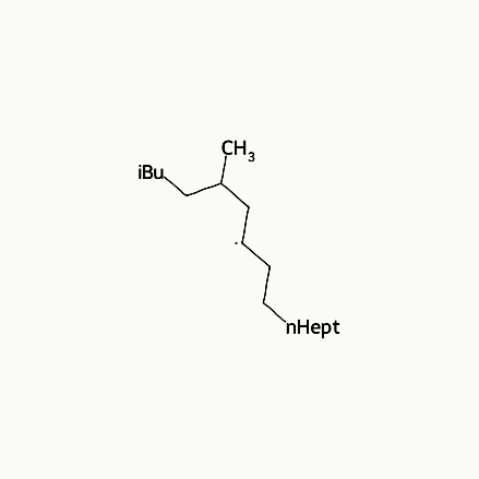 CCCCCCCCC[CH]CC(C)CC(C)CC